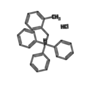 Cc1ccccc1C[PH](c1ccccc1)(c1ccccc1)c1ccccc1.Cl